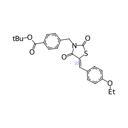 CCOc1ccc(/C=C2\SC(=O)N(Cc3ccc(C(=O)OC(C)(C)C)cc3)C2=O)cc1